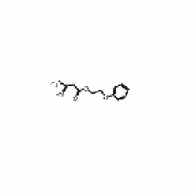 N=C(N)CC(=O)OCCOc1ccccc1